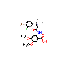 COc1cc(NC(=O)/C=C(/C)c2ccc(Br)c(Cl)c2)c(C(=O)O)cc1OC